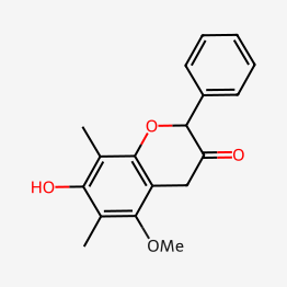 COc1c(C)c(O)c(C)c2c1CC(=O)C(c1ccccc1)O2